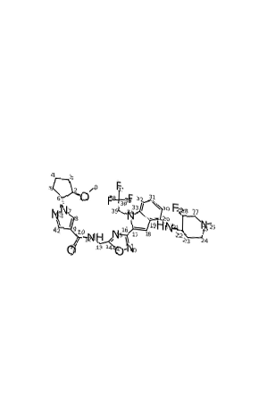 CO[C@@H]1CCC[C@H]1n1cc(C(=O)NCc2nc(-c3cc4c(N[C@@H]5CCN(C)C[C@@H]5F)cccc4n3CC(F)(F)F)no2)cn1